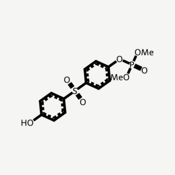 COP(=O)(OC)Oc1ccc(S(=O)(=O)c2ccc(O)cc2)cc1